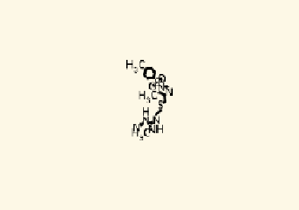 CNC(=NCCSCc1ncn(S(=O)(=O)c2ccc(C)cc2)c1C)NC#N